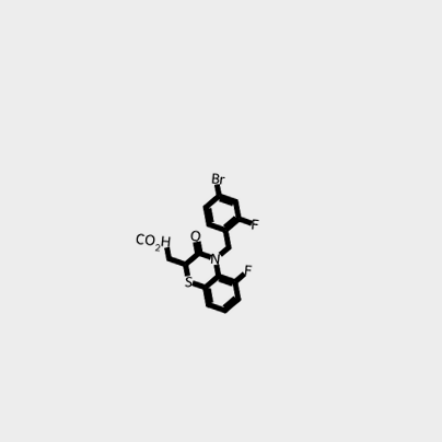 O=C(O)CC1Sc2cccc(F)c2N(Cc2ccc(Br)cc2F)C1=O